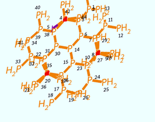 PP(P)P(PI)P(P(P(P)P)P(P)P)P(P(P(P(P)P)P(P)P)P(P(P)P)P(P)P)P(P(P(P)P)P(P)P)P(P(P)P)P(P)P